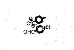 CC[n+]1ccc(C=O)cc1.Cc1ccc(S(=O)(=O)[O-])cc1